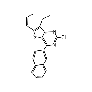 C/C=C\c1sc2c(-c3ccc4ccccc4c3)nc(Cl)nc2c1CC